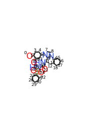 COc1ccc(-n2ccnc2C(Cc2ccccc2)NC(=O)NS(=O)(=O)c2ccccc2C)cc1OC